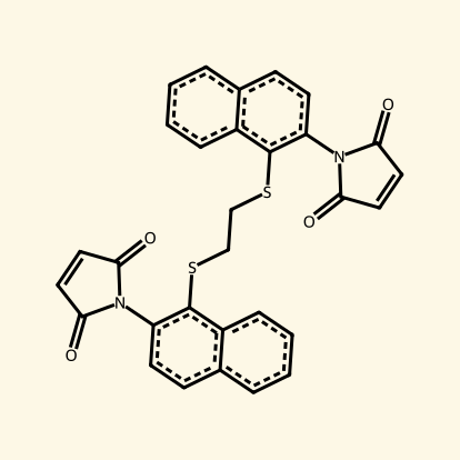 O=C1C=CC(=O)N1c1ccc2ccccc2c1SCCSc1c(N2C(=O)C=CC2=O)ccc2ccccc12